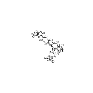 O=C(O)NCC(=CF)Cn1ncn(Cc2cc3cc(-c4ccc5c(c4)OCO5)ccc3s2)c1=O